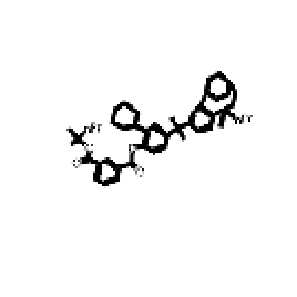 CCCC(C)(C)OC(=O)c1cccc(C(=O)Oc2ccc(C(C)(C)c3ccc4c(c3)C3CCC(CC3)CCC4(C)CCC)cc2C2CCCCC2)c1